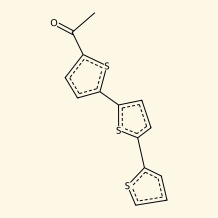 CC(=O)c1ccc(-c2ccc(-c3cccs3)s2)s1